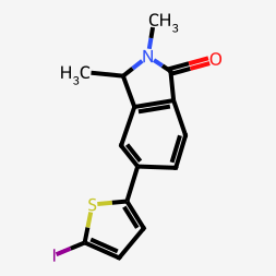 CC1c2cc(-c3ccc(I)s3)ccc2C(=O)N1C